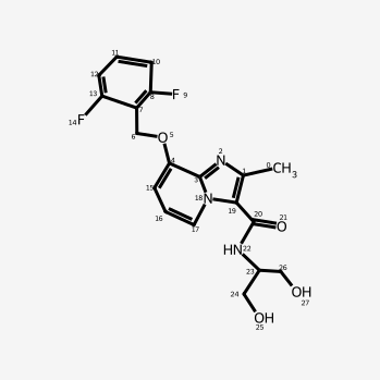 Cc1nc2c(OCc3c(F)cccc3F)cccn2c1C(=O)NC(CO)CO